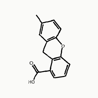 Cc1ccc2c(c1)Cc1c(cccc1C(=O)O)O2